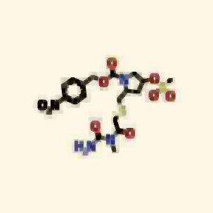 CN(C(N)=O)C(=O)CSCC1CC(OS(C)(=O)=O)CN1C(=O)OCc1ccc([N+](=O)[O-])cc1